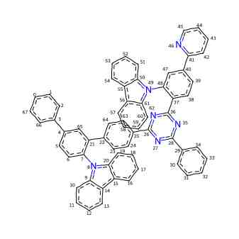 c1ccc(-c2ccc(-n3c4ccccc4c4ccccc43)c(-c3ccc(-c4nc(-c5ccccc5)nc(-c5ccc(-c6ccccn6)cc5-n5c6ccccc6c6ccccc65)n4)cc3)c2)cc1